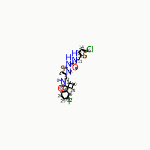 CN(Cc1csc(NC(=O)NCc2ccc(Cl)s2)n1)C(=O)C1(c2cccc(F)c2)CCC1